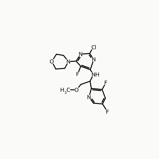 COCC(Nc1nc(Cl)nc(N2CCOCC2)c1F)c1ncc(F)cc1F